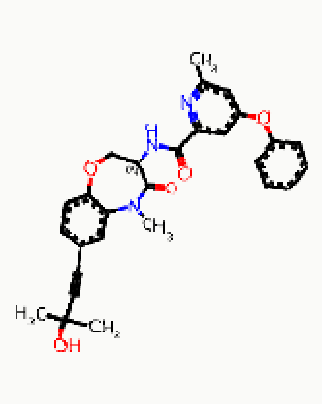 Cc1cc(Oc2ccccc2)cc(C(=O)N[C@@H]2COc3ccc(C#CC(C)(C)O)cc3N(C)C2=O)n1